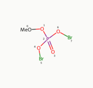 COOP(=O)(OBr)OBr